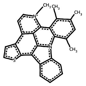 Cc1cc(C)c2c(c1C)c1c3c(cc[n+]1C)c1ccsc1c1c4ccccc4n2c13